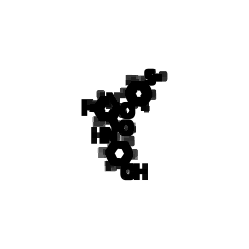 CSc1ccc(Oc2ncc(F)cc2C(=O)N[C@H]2CC[C@H](O)CC2)cc1